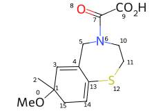 COC1(C)C=C2CN(C(=O)C(=O)O)CCSC2=CC1